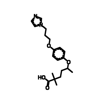 CC(CCC(C)(C)C(=O)O)Oc1ccc(OCCCn2ccnc2)cc1